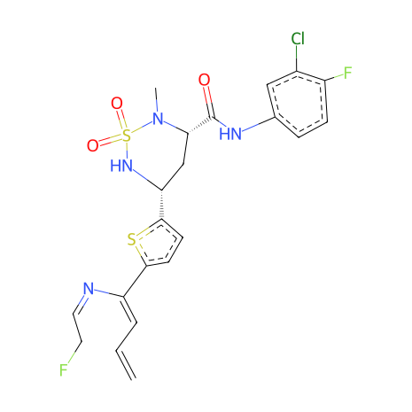 C=C/C=C(\N=C/CF)c1ccc([C@H]2C[C@@H](C(=O)Nc3ccc(F)c(Cl)c3)N(C)S(=O)(=O)N2)s1